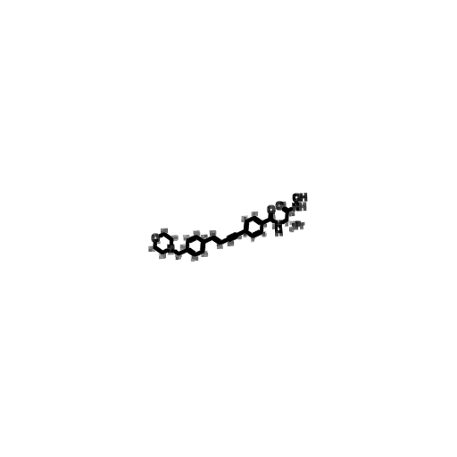 CC(C)[C@H](NC(=O)c1ccc(C#CC=Cc2ccc(CN3CCOCC3)cc2)cc1)C(=O)NO